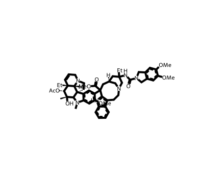 CCC1(NC(=O)N2Cc3cc(OC)c(OC)cc3C2)C[C@H]2CN(CCc3c([nH]c4ccccc34)C(C(=O)OC)(c3cc4c(cc3OC)N(C)C3[C@](C)(O)[C@H](OC(C)=O)[C@]5(CC)C=CCN6CC[C@]43[C@@H]65)C2)C1